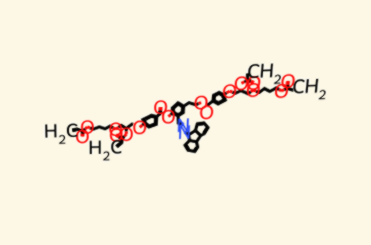 C=CC(=O)OCCCCOCC(COc1ccc(C(=O)OCCc2ccc(OC(=O)c3ccc(OCC(COCCCCOC(=O)C=C)OC(=O)C=C)cc3)c(/C=N/N=C3C4C=CC=CC4C4C=CC=CC34)c2)cc1)OC(=O)C=C